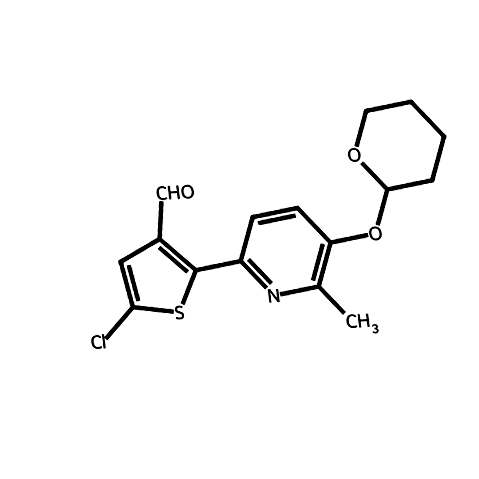 Cc1nc(-c2sc(Cl)cc2C=O)ccc1OC1CCCCO1